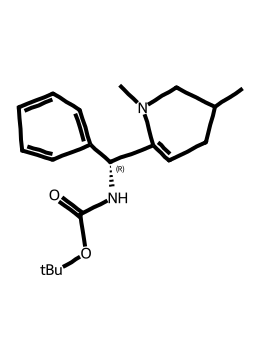 CC1CC=C([C@H](NC(=O)OC(C)(C)C)c2ccccc2)N(C)C1